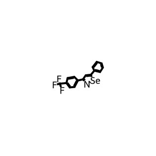 FC(F)(F)c1ccc(-c2cc(-c3ccccc3)[se]n2)cc1